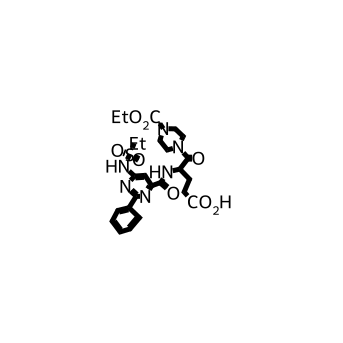 CCOC(=O)N1CCN(C(=O)C(CCC(=O)O)NC(=O)c2cc(NS(=O)(=O)CC)nc(-c3ccccc3)n2)CC1